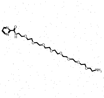 NCCOCCOCCOCCOCCOCCOCCOCCOCCNC(=O)c1ncccn1